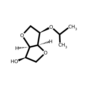 CC(C)O[C@@H]1CO[C@H]2[C@@H]1OC[C@H]2O